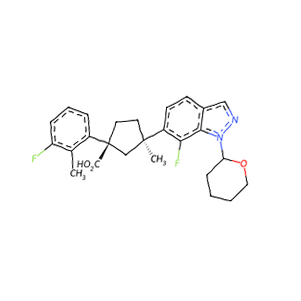 Cc1c(F)cccc1[C@]1(C(=O)O)CC[C@@](C)(c2ccc3cnn(C4CCCCO4)c3c2F)C1